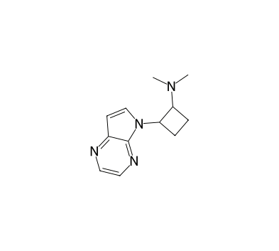 CN(C)C1CCC1n1ccc2nccnc21